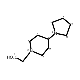 O=C(O)CN1CCC(N2CCCC2)CC1